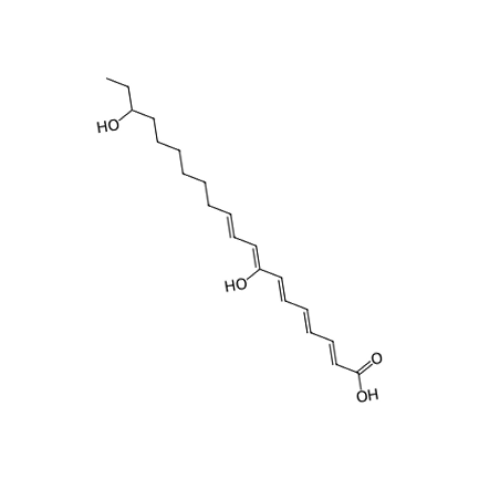 CCC(O)CCCCCC/C=C/C=C(O)/C=C/C=C/C=C/C(=O)O